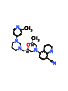 Cc1cc(N2CCCN(C[C@H]3CN(c4ccc(C#N)c5ncccc45)C[C@@H](C)O3)C2)ccn1